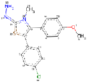 COc1ccc(-c2c(-c3ccc(Cl)cc3)sc(=NN)n2C)cc1